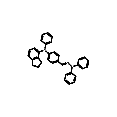 C(=N\N(c1ccccc1)c1ccccc1)/c1ccc(N(c2ccccc2)c2cccc3c2CCC3)cc1